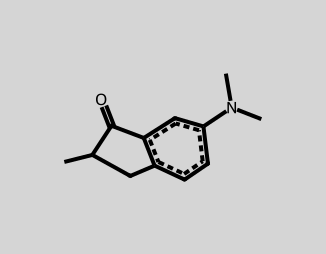 CC1Cc2ccc(N(C)C)cc2C1=O